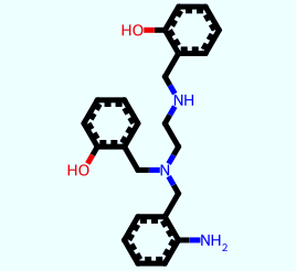 Nc1ccccc1CN(CCNCc1ccccc1O)Cc1ccccc1O